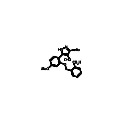 CCCCc1n[nH]c(-c2ccc(OC)cc2OCc2ccccc2C(=O)O)c1C=O